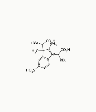 CCCCC(C(=O)O)[N+]1=C(C)C(C)(C(CCCC)C(=O)O)c2cc(S(=O)(=O)O)ccc21